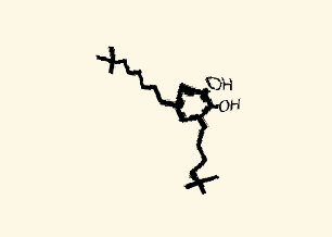 CC(C)(C)CCCCCCc1cc(O)c(O)c(CCCCC(C)(C)C)c1